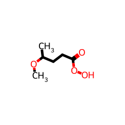 COC(C)CCC(=O)OO